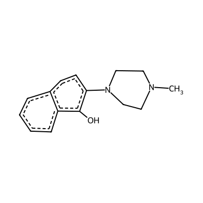 CN1CCN(c2ccc3ccccc3c2O)CC1